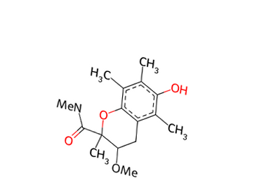 CNC(=O)C1(C)Oc2c(C)c(C)c(O)c(C)c2CC1OC